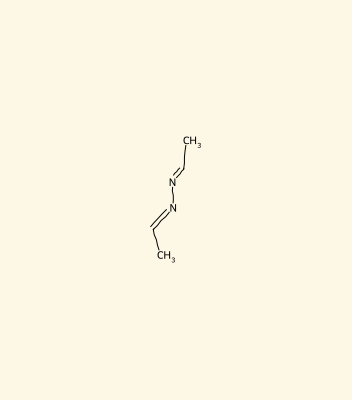 CC=NN=CC